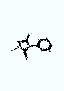 O=c1[nH]n(F)c(=O)n1-c1ccccc1